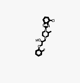 CC1CN(CC(O)COc2ccccc2F)CCN1c1nc2c(Cl)cccc2s1